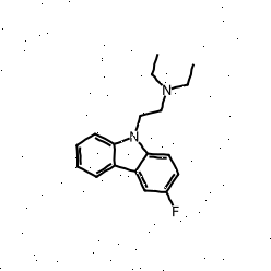 CCN(CC)CCn1c2ccccc2c2cc(F)ccc21